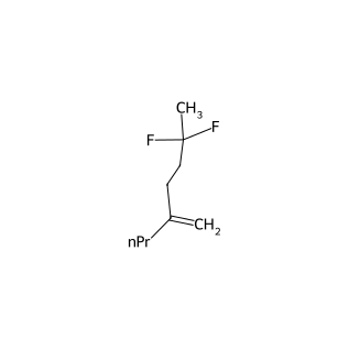 C=C(CCC)CCC(C)(F)F